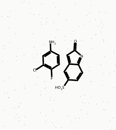 Nc1ccc(F)c(Cl)c1.O=C1C=c2cc(S(=O)(=O)O)ccc2=N1